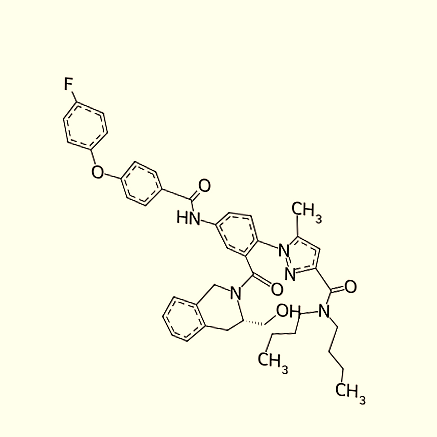 CCCCN(CCCC)C(=O)c1cc(C)n(-c2ccc(NC(=O)c3ccc(Oc4ccc(F)cc4)cc3)cc2C(=O)N2Cc3ccccc3C[C@H]2CO)n1